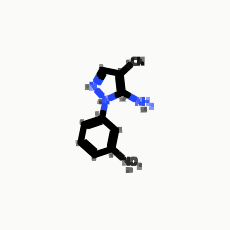 N#Cc1cnn(-c2cccc([N+](=O)[O-])c2)c1N